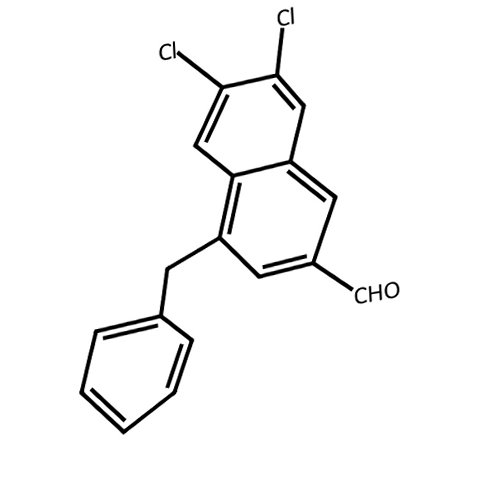 O=Cc1cc(Cc2ccccc2)c2cc(Cl)c(Cl)cc2c1